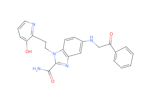 NC(=O)c1nc2cc(NCC(=O)c3ccccc3)ccc2n1CCc1ncccc1O